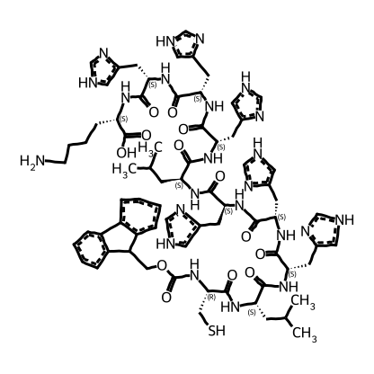 CC(C)C[C@H](NC(=O)[C@H](CS)NC(=O)OCC1c2ccccc2-c2ccccc21)C(=O)N[C@@H](Cc1c[nH]cn1)C(=O)N[C@@H](Cc1c[nH]cn1)C(=O)N[C@@H](Cc1c[nH]cn1)C(=O)N[C@@H](CC(C)C)C(=O)N[C@@H](Cc1c[nH]cn1)C(=O)N[C@@H](Cc1c[nH]cn1)C(=O)N[C@@H](Cc1c[nH]cn1)C(=O)N[C@@H](CCCCN)C(=O)O